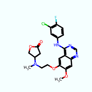 COc1cc2ncnc(Nc3ccc(F)c(Cl)c3)c2cc1OCCN(C)C1COC(=O)C1